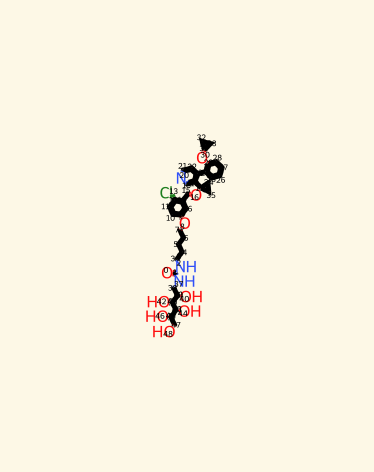 O=C(NCCCCCOc1ccc(Cl)c(COC2(c3cnccc3-c3ccccc3OC3CC3)CC2)c1)NC[C@H](O)[C@@H](O)[C@H](O)[C@H](O)CO